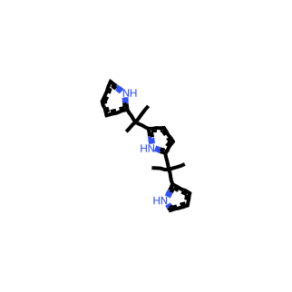 CC(C)(c1ccc[nH]1)c1ccc(C(C)(C)c2ccc[nH]2)[nH]1